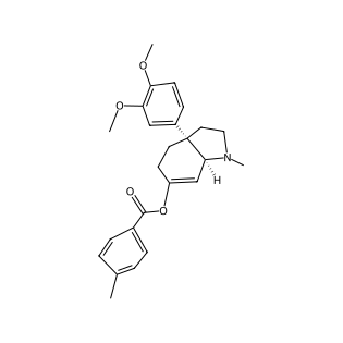 COc1ccc([C@@]23CCC(OC(=O)c4ccc(C)cc4)=C[C@@H]2N(C)CC3)cc1OC